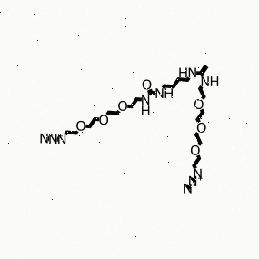 C=C(NCCCCNC(=O)NCCOCCOCCOCCN=[N+]=[N-])NCCOCCOCCOCCN=[N+]=[N-]